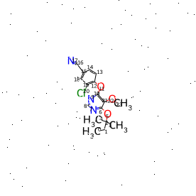 CCC(C)(C)Oc1ncnc(Oc2ccc(C#N)cc2Cl)c1OC